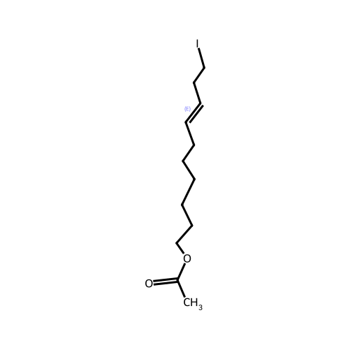 CC(=O)OCCCCCC/C=C/CCI